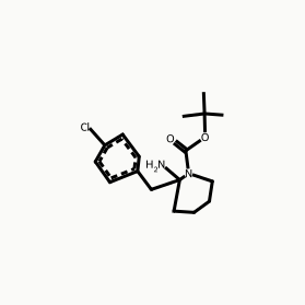 CC(C)(C)OC(=O)N1CCCCC1(N)Cc1ccc(Cl)cc1